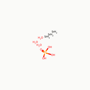 O.O.O.O=P(O)(O)O.[SrH2].[SrH2].[SrH2]